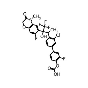 CC(c1ccc(-c2ccc(OC(=O)O)c(F)c2)cc1Cl)C(O)(c1cc2c(cc1F)OCC(=O)N2C)C(F)(F)F